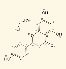 CCO.O=C1CC(c2ccc(O)cc2)Oc2cc(O)cc(O)c21